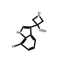 COC1(c2c[nH]c3c(Cl)cccc23)CNC1